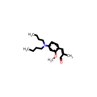 CCCCN(CCCC)c1ccc(C=C(C)C=O)c(OC)c1